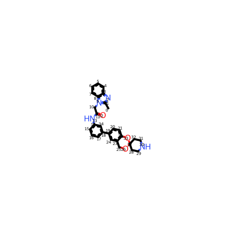 Cc1nc2ccccc2n1CC(=O)Nc1cccc(-c2ccc3c(c2)COC2(CCNCC2)O3)c1